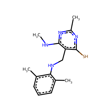 CNc1nc(C)nc(S)c1CNc1c(C)cccc1C